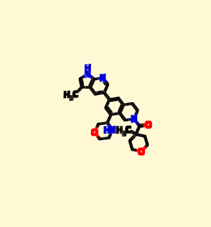 Cc1c[nH]c2ncc(-c3cc4c(c(C5COCCN5)c3)CN(C(=O)C3(C)CCOCC3)CC4)cc12